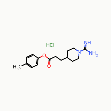 Cc1ccc(OC(=O)CCC2CCN(C(=N)N)CC2)cc1.Cl